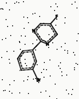 Fc1cnc(-c2cc[c]c(Br)c2)nc1